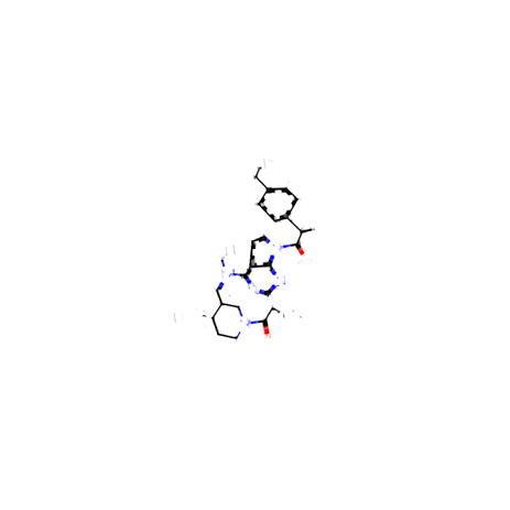 CC(C)Cc1ccc(C(C)C(=O)n2ccc3c(/[N+](C)=C\C4CN(C(=O)CC#N)CC[C@H]4C)ncnc32)cc1